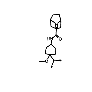 COC1(C(F)F)CCC(NC(=O)C2CC3CCC(C2)N3)CC1